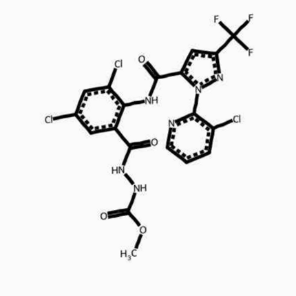 COC(=O)NNC(=O)c1cc(Cl)cc(Cl)c1NC(=O)c1cc(C(F)(F)F)nn1-c1ncccc1Cl